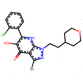 CCc1nn(CCC2CCOCC2)c2[nH]c(-c3ccccc3Cl)c(O)c(=O)c12